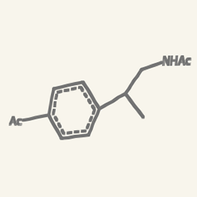 CC(=O)NCC(C)c1ccc(C(C)=O)cc1